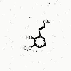 CCCC/C=C/c1cccc(C(=O)O)c1O